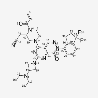 C=CC(=O)N1CCN(c2nc(N3CC(N(CC)CC)C3)nc3c(=O)n(-c4cccc5c4CCC5(F)F)ncc23)CC1CC#N